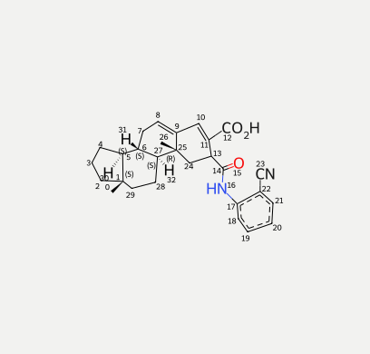 C[C@@]12CCC[C@H]1[C@@H]1CC=C3C=C(C(=O)O)C(C(=O)Nc4ccccc4C#N)C[C@]3(C)[C@H]1CC2